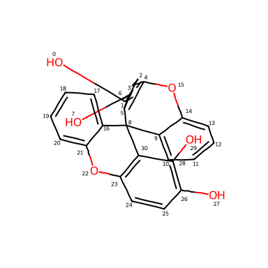 Oc1ccc2c(c1O)C1(c3ccccc3O2)c2ccccc2Oc2ccc(O)c(O)c21